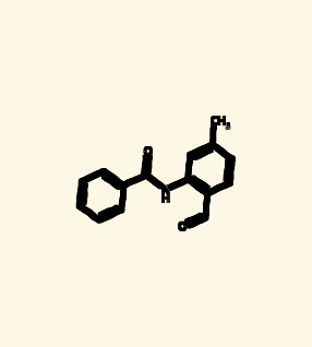 Cc1ccc(C=O)c(NC(=O)c2ccccc2)c1